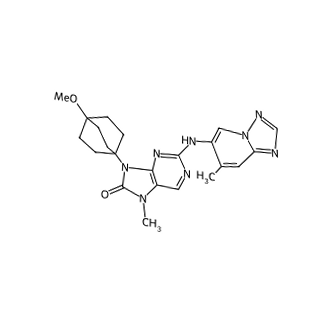 COC12CCC(n3c(=O)n(C)c4cnc(Nc5cn6ncnc6cc5C)nc43)(CC1)CC2